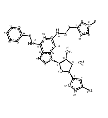 CCc1cc([C@H]2O[C@@H](n3cnc4c(NCc5ccccc5)nc(NCCc5cn(C)cn5)nc43)[C@H](O)[C@@H]2O)on1